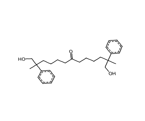 CC(CO)(CCCCC(=O)CCCCC(C)(CO)c1ccccc1)c1ccccc1